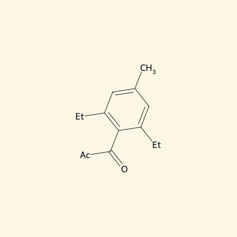 CCc1cc(C)cc(CC)c1C(=O)C(C)=O